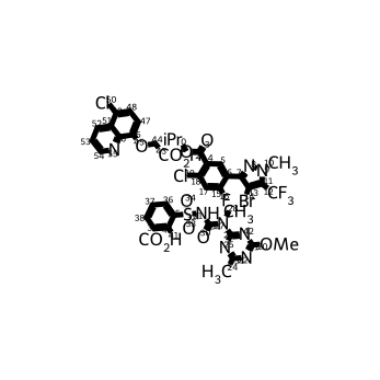 CC(C)OC(=O)c1cc(-c2nn(C)c(C(F)(F)F)c2Br)c(F)cc1Cl.COc1nc(C)nc(N(C)C(=O)NS(=O)(=O)c2ccccc2C(=O)O)n1.O=C(O)COc1ccc(Cl)c2cccnc12